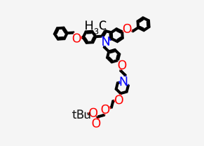 Cc1c(-c2ccc(OCc3ccccc3)cc2)n(Cc2ccc(OCCN3CCC(OCCOCC(=O)OC(C)(C)C)CC3)cc2)c2ccc(OCc3ccccc3)cc12